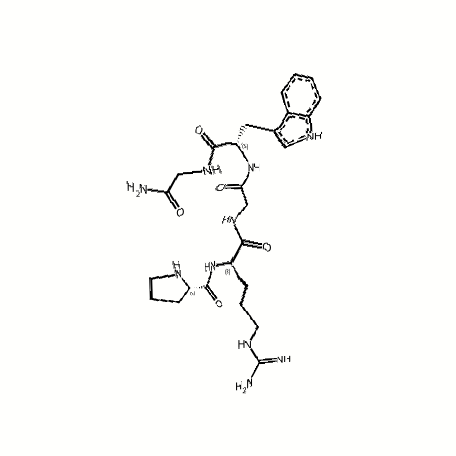 N=C(N)NCCC[C@@H](NC(=O)[C@@H]1CCCN1)C(=O)NCC(=O)N[C@@H](Cc1c[nH]c2ccccc12)C(=O)NCC(N)=O